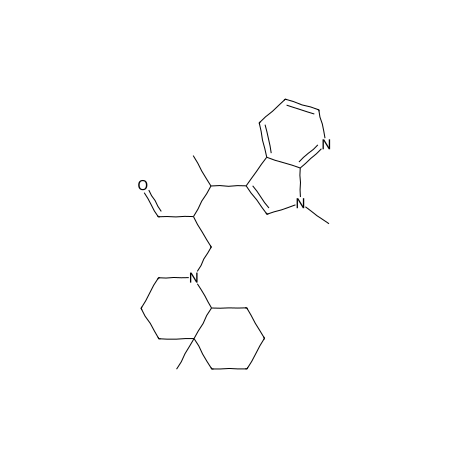 CC(c1cn(C)c2ncccc12)C(C=O)CN1CCCC2(C)CCCCC12